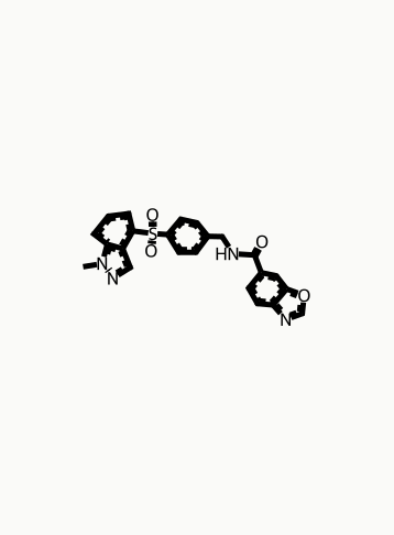 Cn1ncc2c(S(=O)(=O)c3ccc(CNC(=O)c4ccc5ncoc5c4)cc3)cccc21